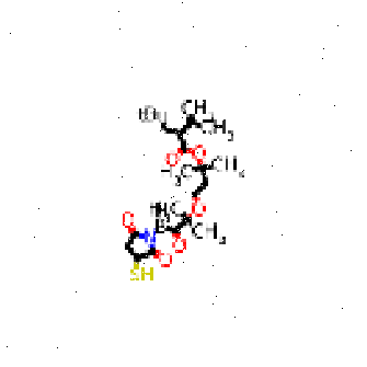 C=C(C)C(CC(C)(C)C)C(=O)OC(C)(C)CCOC(C)(C)C(=O)BN1C(=O)CC(S)C1=O